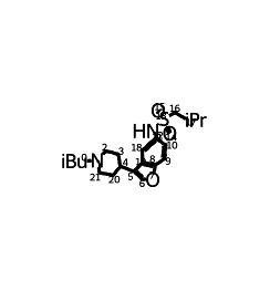 CCC(C)N1CCC(c2coc3ccc(NS(=O)(=O)CC(C)C)cc23)CC1